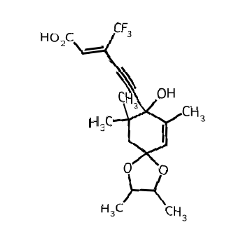 CC1=CC2(CC(C)(C)C1(O)C#CC(=CC(=O)O)C(F)(F)F)OC(C)C(C)O2